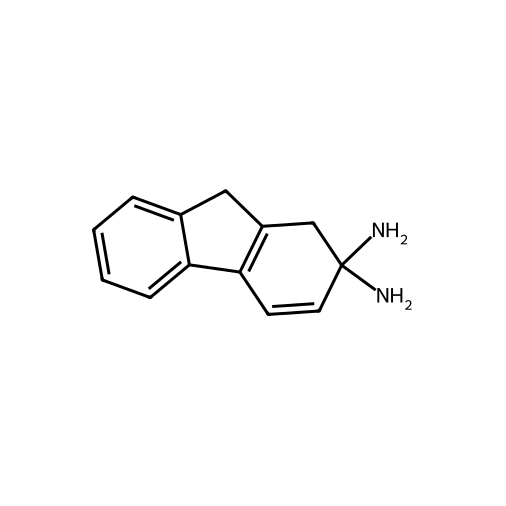 NC1(N)C=CC2=C(Cc3ccccc32)C1